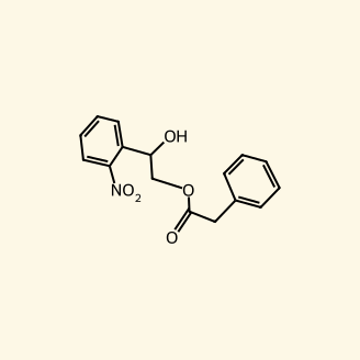 O=C(Cc1ccccc1)OCC(O)c1ccccc1[N+](=O)[O-]